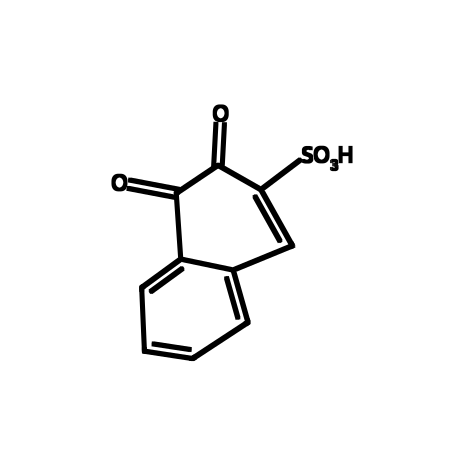 O=C1C(=O)c2ccccc2C=C1S(=O)(=O)O